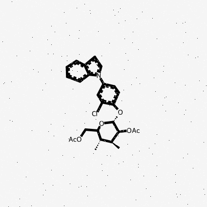 CC(=O)OCC1O[C@H](Oc2ccc(-n3ccc4ccccc43)cc2Cl)C(OC(C)=O)[C@@H](C)[C@@H]1C